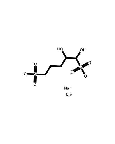 O=S(=O)([O-])CCCC(O)C(O)S(=O)(=O)[O-].[Na+].[Na+]